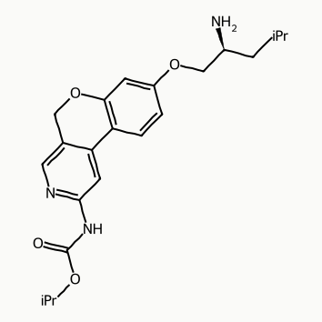 CC(C)C[C@H](N)COc1ccc2c(c1)OCc1cnc(NC(=O)OC(C)C)cc1-2